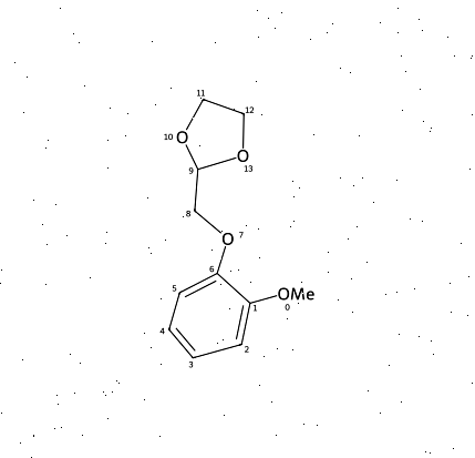 COc1ccccc1OCC1OCCO1